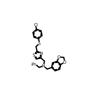 CC(C)CN(Cc1ccc2c(c1)OCO2)Cc1csc(CSc2ccc(Cl)cc2)n1